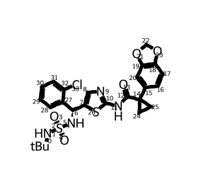 CC(C)(C)NS(=O)(=O)N[C@@H](c1cnc(NC(=O)C2(c3ccc4c(c3)OCO4)CC2)s1)c1ccccc1Cl